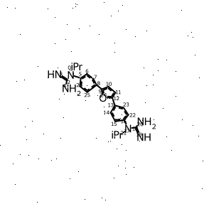 CC(C)N(C(=N)N)c1ccc(-c2ccc(-c3ccc(N(C(=N)N)C(C)C)cc3)o2)cc1